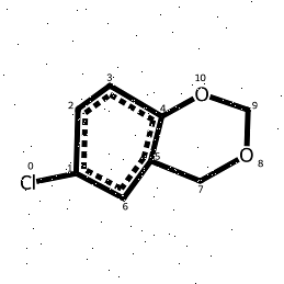 Clc1ccc2c(c1)COCO2